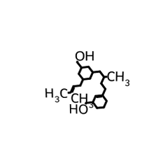 CC(C)=CCC1CC(CO)CC(CC(C)CCC2=CC(CO)CCC2)C1